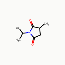 CC(=O)C(C)N1C(=O)CC(C)C1=O